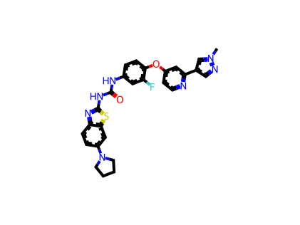 Cn1cc(-c2cc(Oc3ccc(NC(=O)Nc4nc5ccc(N6CCCC6)cc5s4)cc3F)ccn2)cn1